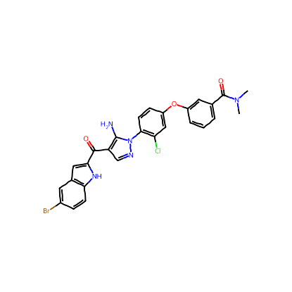 CN(C)C(=O)c1cccc(Oc2ccc(-n3ncc(C(=O)c4cc5cc(Br)ccc5[nH]4)c3N)c(Cl)c2)c1